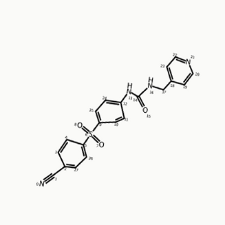 N#Cc1ccc(S(=O)(=O)c2ccc(NC(=O)NCc3ccncc3)cc2)cc1